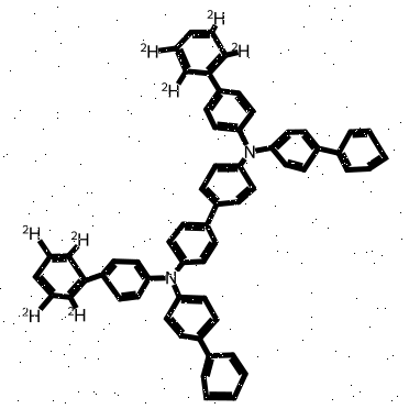 [2H]c1cc([2H])c([2H])c(-c2ccc(N(c3ccc(-c4ccccc4)cc3)c3ccc(-c4ccc(N(c5ccc(-c6ccccc6)cc5)c5ccc(-c6c([2H])c([2H])cc([2H])c6[2H])cc5)cc4)cc3)cc2)c1[2H]